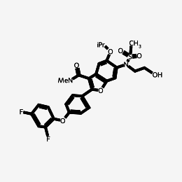 CNC(=O)c1c(-c2ccc(Oc3ccc(F)cc3F)cc2)oc2cc(N(CCO)S(C)(=O)=O)c(OC(C)C)cc12